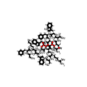 C[C@@H](O)[C@H](NC(=O)C(CS)NNC(=O)C[C@H](NN[C@@H](Cc1c[nH]c2ccccc12)C(=O)C(=O)[C@H](CCCCN)NC(=O)[C@H](Cc1ccccc1)NC(=O)CO)C(=O)N1CCC[C@H]1C(=O)N[C@@H](CCCNC(=N)N)C(=O)NC(C=O)CO)C(=O)N[C@H](C(=O)N[C@@H](Cc1c[nH]c2ccccc12)C(=O)NC(Cc1ccccc1)C(=O)N[C@@H](CCCNC(=N)N)C(=O)NC(C=O)Cc1c[nH]c2ccccc12)[C@@H](C)O